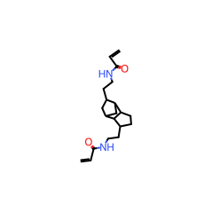 C=CC(=O)NCCC1CC2CC1C1CCC(CCNC(=O)C=C)C21